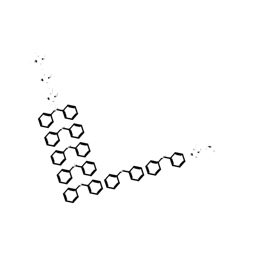 O=S(=O)([O-])C(F)(F)F.O=S(=O)([O-])C(F)(F)F.O=S(=O)([O-])C(F)(F)F.O=S(=O)([O-])C(F)(F)F.[O-]B([O-])[O-].c1ccc([I+]c2ccccc2)cc1.c1ccc([I+]c2ccccc2)cc1.c1ccc([I+]c2ccccc2)cc1.c1ccc([I+]c2ccccc2)cc1.c1ccc([I+]c2ccccc2)cc1.c1ccc([I+]c2ccccc2)cc1.c1ccc([I+]c2ccccc2)cc1